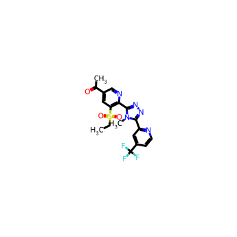 CCS(=O)(=O)c1cc(C(C)=O)cnc1-c1nnc(-c2cc(C(F)(F)F)ccn2)n1C